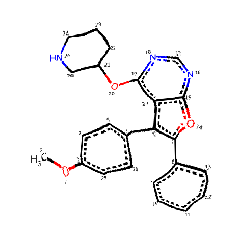 COc1ccc(-c2c(-c3ccccc3)oc3ncnc(OC4CCCNC4)c23)cc1